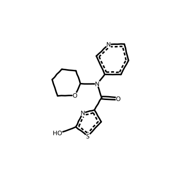 O=C(c1csc(O)n1)N(c1cccnc1)C1CCCCO1